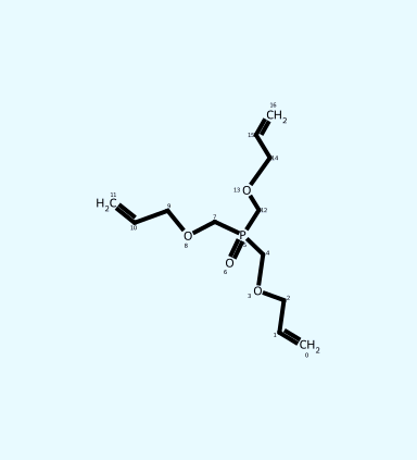 C=CCOCP(=O)(COCC=C)COCC=C